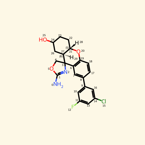 NC1=NC2(CO1)c1cc(-c3cc(F)cc(Cl)c3)ccc1O[C@H]1CCC(O)C[C@@H]12